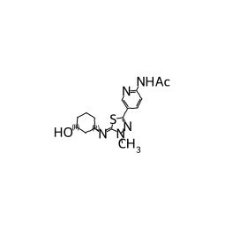 CC(=O)Nc1ccc(-c2nn(C)c(=N[C@@H]3CCC[C@@H](O)C3)s2)cn1